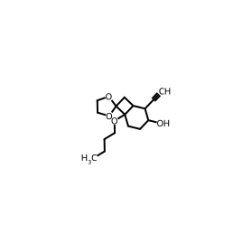 C#CC1C(O)CCC2(OCCCC)C1CC21OCCO1